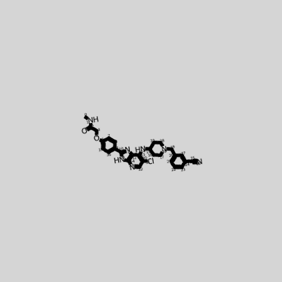 CNC(=O)COc1ccc(-c2nc3c(NC4CCN(Cc5cccc(C#N)c5)CC4)c(Cl)cnc3[nH]2)cc1